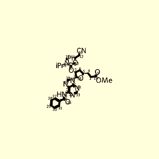 COC(=O)CC[C@@H]1C[C@@H](OP(OCCC#N)N(C(C)C)C(C)C)[C@H](n2cnc3c(NC(=O)c4ccccc4)ncnc32)O1